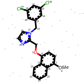 COc1ccc(OCc2nccn2Cc2cc(Cl)cc(Cl)c2)c2ccccc12